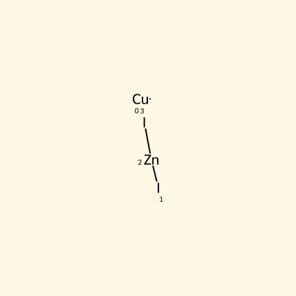 [Cu].[I][Zn][I]